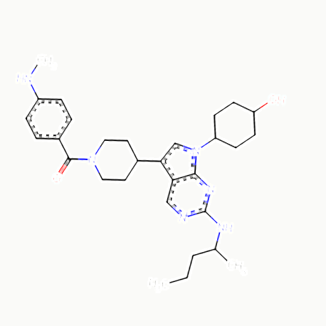 CCCC(C)Nc1ncc2c(C3CCN(C(=O)c4ccc(NC)cc4)CC3)cn(C3CCC(O)CC3)c2n1